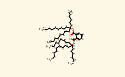 CCCCCCCCCC(CCCCCC)(CCCCCCCC)OC(=O)c1ccccc1C(=O)OC(CCCCCC)(CCCCCCCC)CCCCCCCCC